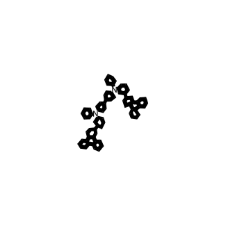 C1=Cc2c(c3ccccc3c3cc(-c4cccc(N(c5ccccc5)c5ccc(-c6ccc(N(C7=CC(C8C=Cc9c(c%10ccccc%10c%10ccccc9%10)C8)CC=C7)c7ccccc7)cc6)cc5)c4)ccc23)CC1